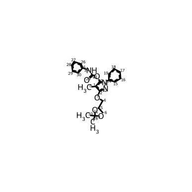 Cc1c(OCC2COC(C)(C)O2)nn(-c2ccccc2)c1OC(=O)Nc1ccccc1